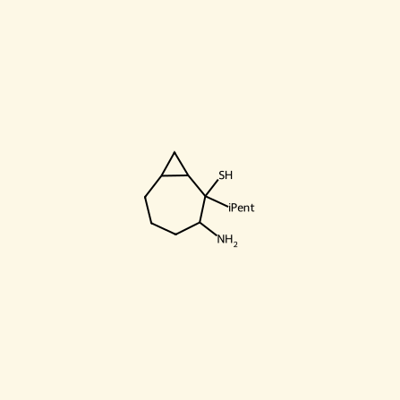 CCCC(C)C1(S)C(N)CCCC2CC21